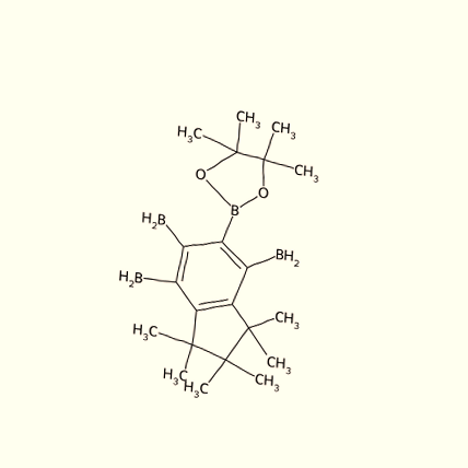 Bc1c(B)c2c(c(B)c1B1OC(C)(C)C(C)(C)O1)C(C)(C)C(C)(C)C2(C)C